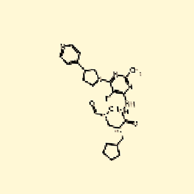 Cc1nc(NNC(=O)[C@H](CC2CCCC2)CN(O)C=O)c(F)c(N2CCC(c3ccncc3)C2)n1